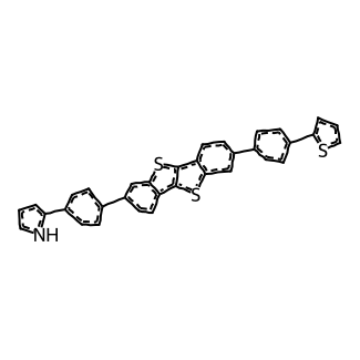 c1c[nH]c(-c2ccc(-c3ccc4c(c3)sc3c5ccc(-c6ccc(-c7cccs7)cc6)cc5sc43)cc2)c1